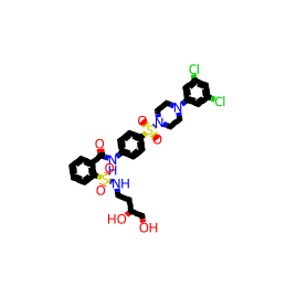 O=C(Nc1ccc(S(=O)(=O)N2CCN(c3cc(Cl)cc(Cl)c3)CC2)cc1)c1ccccc1S(=O)(=O)NCCC(O)CO